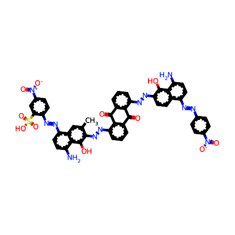 Cc1cc2c(N=Nc3ccc([N+](=O)[O-])cc3S(=O)(=O)O)ccc(N)c2c(O)c1N=Nc1cccc2c1C(=O)c1cccc(N=Nc3ccc4c(N=Nc5ccc([N+](=O)[O-])cc5)ccc(N)c4c3O)c1C2=O